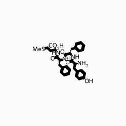 CSCC[C@H](NC(=O)[C@H](Cc1ccccc1)NC(=O)[C@H](Cc1ccccc1)NC(=O)[C@@H](N)Cc1ccc(O)cc1)C(=O)O